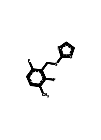 Cc1ccc(F)c(CSc2ncco2)c1F